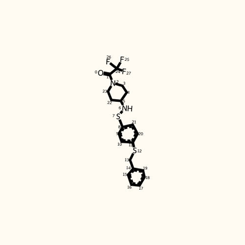 O=C(N1CCC(NSc2ccc(SCc3ccccc3)cc2)CC1)C(F)(F)F